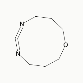 C1=NCCCOCCCN=1